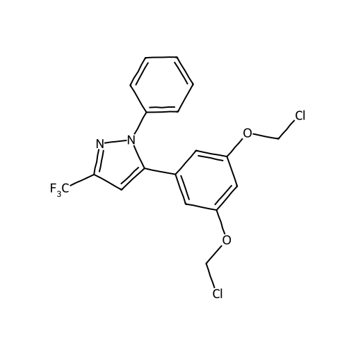 FC(F)(F)c1cc(-c2cc(OCCl)cc(OCCl)c2)n(-c2ccccc2)n1